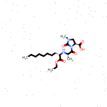 CCCCCCCC[C@H](N[C@@H](C)C(=O)N1C(=O)N(C)C[C@H]1C(=O)O)C(=O)OCC